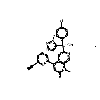 C#Cc1cccc(-c2cc(=O)n(C)c3cnc([C@](O)(c4ccc(Cl)cc4)c4cnnn4C)cc23)n1